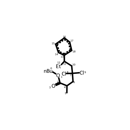 CCCCOC(=O)C(C)CC(Cl)(Cl)CC(CC)c1ccccc1